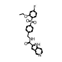 CCOc1cc(F)ccc1S(=O)(=O)c1ccc(CNC(=O)c2cc3cnccc3[nH]2)cc1